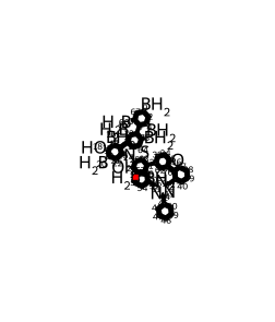 Bc1cc(B)c(-c2c(B)c3c4c(c2B)c2c(B)c(O)c(B)c(O)c2n4-c2cc(B)c(B)c(-c4ccc5oc6cccc(-c7nc(-c8ccccc8)nc(-c8ccccc8)n7)c6c5c4)c2S3)c(B)c1